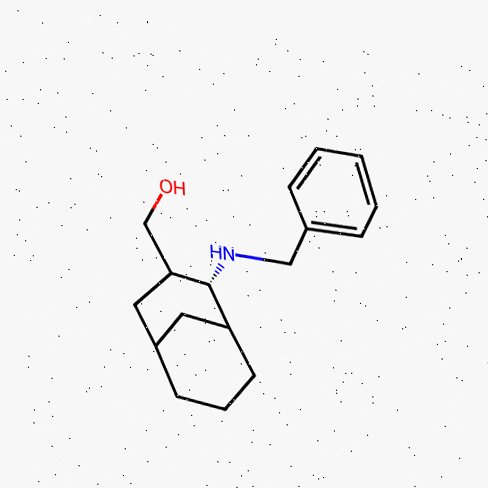 OCC1CC2CCCC(C2)[C@H]1NCc1ccccc1